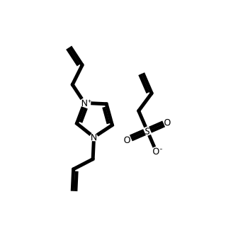 C=CCS(=O)(=O)[O-].C=CCn1cc[n+](CC=C)c1